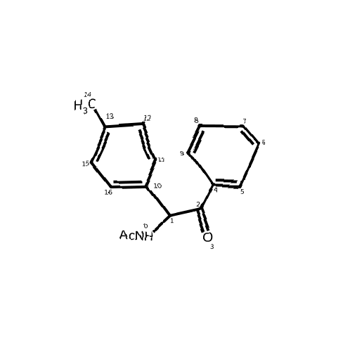 CC(=O)NC(C(=O)c1ccccc1)c1ccc(C)cc1